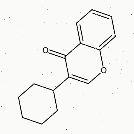 O=c1c(C2CCCCC2)coc2ccccc12